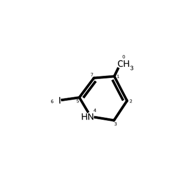 CC1=CCNC(I)=C1